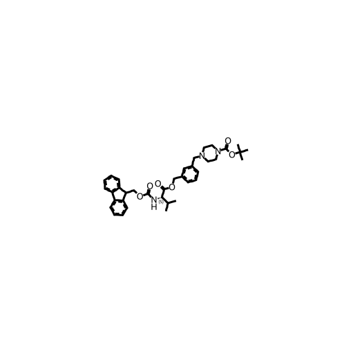 CC(C)[C@H](NC(=O)OCC1c2ccccc2-c2ccccc21)C(=O)OCc1cccc(CN2CCN(C(=O)OC(C)(C)C)CC2)c1